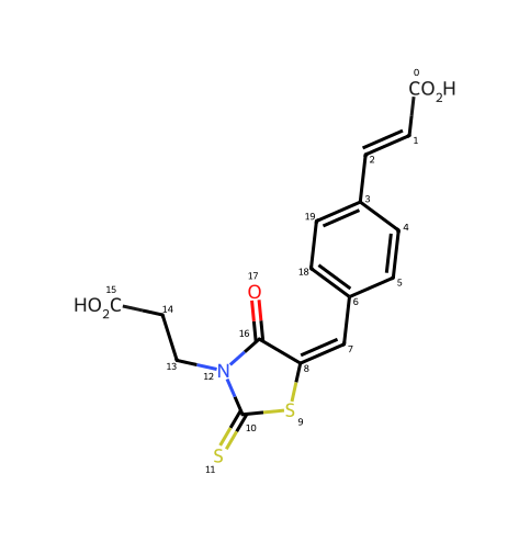 O=C(O)C=Cc1ccc(C=C2SC(=S)N(CCC(=O)O)C2=O)cc1